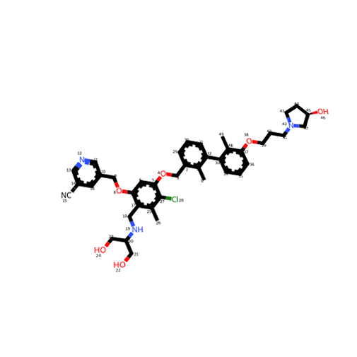 Cc1c(COc2cc(OCc3cncc(C#N)c3)c(CNC(CO)CO)c(C)c2Cl)cccc1-c1cccc(OCCCN2CC[C@@H](O)C2)c1C